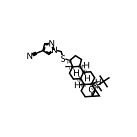 CC(C)(C)[Si](C)(C)OC12CC[C@@H]3[C@H]4CC[C@]5(C)[C@@H](SCn6cc(C#N)cn6)CC[C@H]5[C@@H]4CC[C@@H]3C1C2